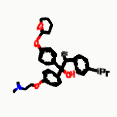 CCC(c1ccc(C(C)C)cc1)C(O)(c1ccc(OCCN(C)C)cc1)c1ccc(OC2CCCCO2)cc1